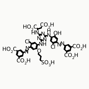 O=C(O)CC(Nc1nc(Nc2cc(Cl)c(N=Nc3cc(C(=O)O)cc(C(=O)O)c3)cc2O)nc(Nc2cc(Cl)c(N=Nc3cc(C(=O)O)cc(C(=O)O)c3)cc2OCCCS(=O)(=O)O)n1)C(=O)O